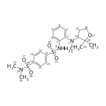 CN(c1ccccc1NS(=O)(=O)c1ccc(S(=O)(=O)N(C)C)cc1)C1CCOC1(C)C